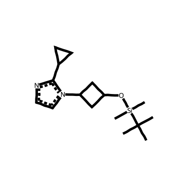 CC(C)(C)[Si](C)(C)OC1CC(n2ccnc2C2CC2)C1